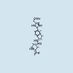 COCC1NC(c2ccc3c(c2)CC[C@H]3NC(=O)C2CCNC(C(F)F)C2)NO1